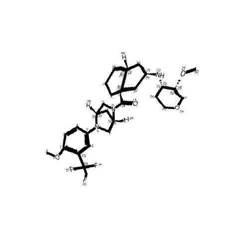 COc1ccc(N2C[C@@H]3C[C@H]2CN3C(=O)[C@@]23CCC[C@@H]2C[C@@H](N[C@H]2CCOC[C@H]2OC)C3)cc1C(F)(F)F